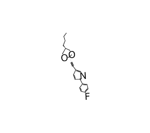 CCCC[C@H]1CO[C@H](C#Cc2ccc(-c3ccc(F)cc3)nc2)OC1